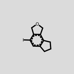 Ic1cc2c(c3c1COC3)CCC2